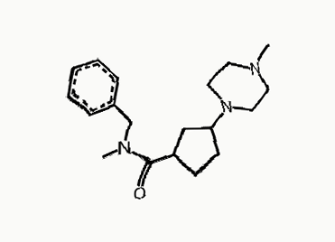 CN1CCN(C2CCC(C(=O)N(C)Cc3ccccc3)C2)CC1